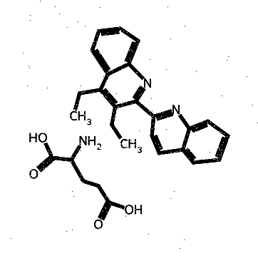 CCc1c(-c2ccc3ccccc3n2)nc2ccccc2c1CC.NC(CCC(=O)O)C(=O)O